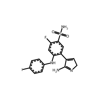 NC1=NCC=C1c1cc(S(N)(=O)=O)c(F)cc1Nc1ccc(I)cc1